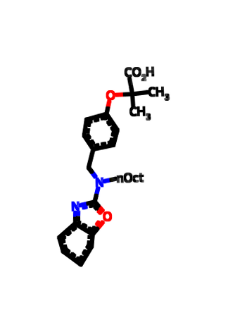 CCCCCCCCN(Cc1ccc(OC(C)(C)C(=O)O)cc1)c1nc2ccccc2o1